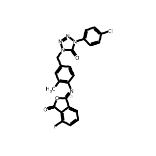 Cc1cc(Cn2nnn(-c3ccc(Cl)cc3)c2=O)ccc1/N=C1\OC(=O)c2c(I)cccc21